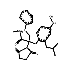 CNC(=O)[C@](CSc1ccccc1)(Cc1ccc(NO)cc1CC(C)C)N1C(=O)CCC1=O